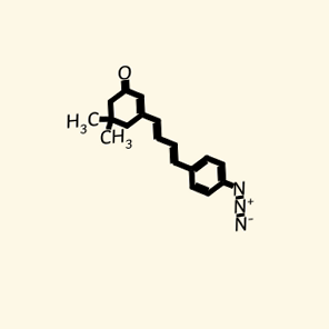 CC1(C)CC(=O)C=C(C=CC=Cc2ccc(N=[N+]=[N-])cc2)C1